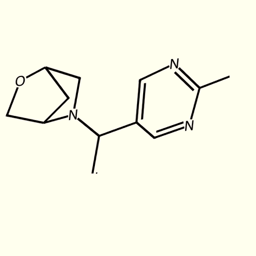 [CH2]C(c1cnc(C)nc1)N1CC2CC1CO2